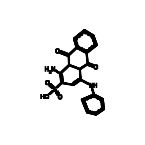 NC1=C(S(=O)(=O)O)C=C(Nc2ccccc2)C2C(=O)c3ccccc3C(=O)C12